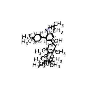 CN(C)/C=N\c1ccc(C2(O)CC3(C)OC(C)(C2)C2O[Si](C(C)(C)C)(C(C)(C)C)OC23)cc1C1=CCC(C)(C)CC1